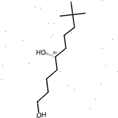 CC(C)(C)CCC[C@@H](O)CCCCO